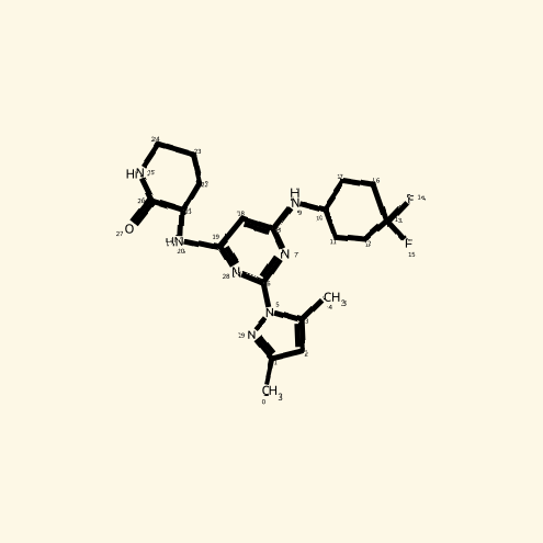 Cc1cc(C)n(-c2nc(NC3CCC(F)(F)CC3)cc(NC3CCCNC3=O)n2)n1